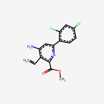 C=Cc1c(N)cc(-c2ccc(Cl)cc2F)nc1C(=O)OC